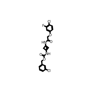 O=C(COc1ccc(Cl)c(F)c1)NC12CC(NC(=O)OCc3cccc(Cl)c3)(C1)C2